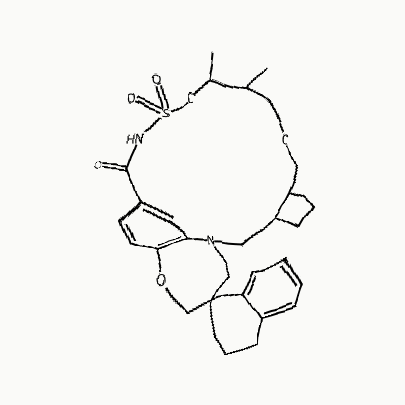 CC1CCCC2CCC2CN2CC3(CCCc4ccccc43)COc3ccc(cc32)C(=O)NS(=O)(=O)CC1C